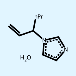 C=CC(CCC)n1ccnc1.O